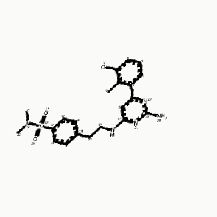 Cc1c(Cl)cccc1-c1cc(NCCc2ccc(S(=O)(=O)N(C)C)cc2)nc(N)n1